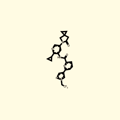 O=C(Nc1cc(N2CC3(CC3)CC2=O)cnc1C1CC1)c1cccc(-c2cnn(CC(F)(F)F)c2)n1